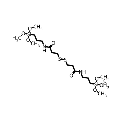 CO[Si](CCCNC(=O)CCSSCCC(=O)NCCC[Si](OC)(OC)OC)(OC)OC